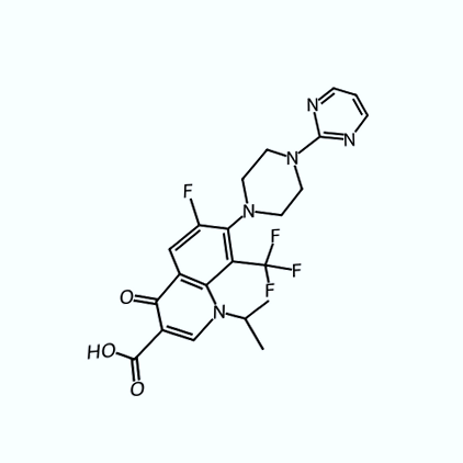 CC(C)n1cc(C(=O)O)c(=O)c2cc(F)c(N3CCN(c4ncccn4)CC3)c(C(F)(F)F)c21